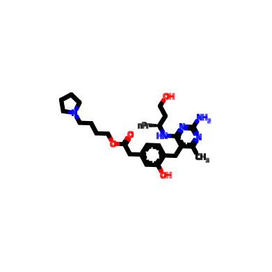 CCC[C@@H](CCO)Nc1nc(N)nc(C)c1Cc1ccc(CC(=O)OCCCCN2CCCC2)cc1O